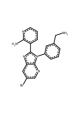 NCc1cccc(-n2c(-c3cccnc3N)nc3cc(Br)cnc32)c1